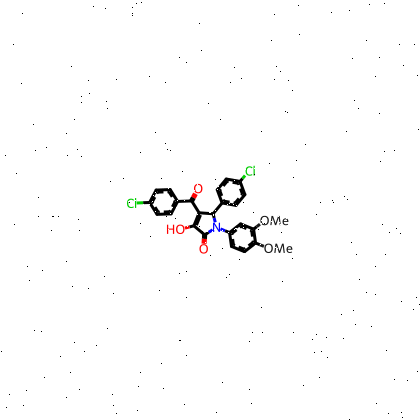 COc1ccc(N2C(=O)C(O)=C(C(=O)c3ccc(Cl)cc3)C2c2ccc(Cl)cc2)cc1OC